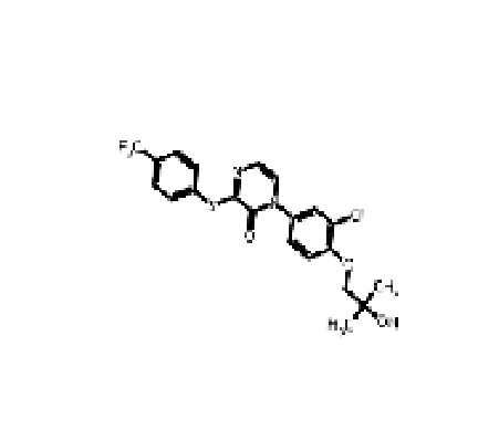 CC(C)(O)COc1ccc(-n2ccnc(Sc3ccc(C(F)(F)F)cc3)c2=O)cc1Cl